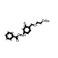 COCCOCc1ccc(NOC(=O)c2ccccc2)cc1F